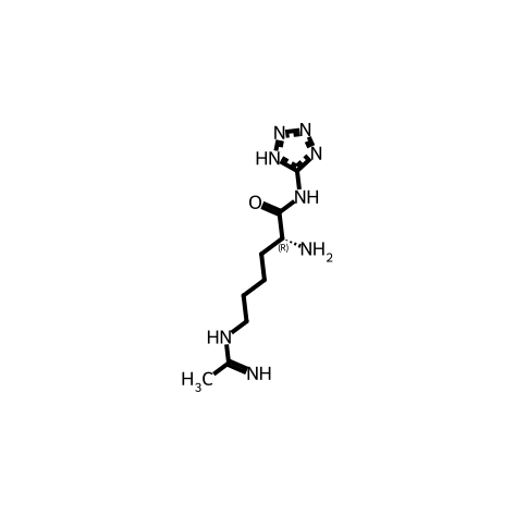 CC(=N)NCCCC[C@@H](N)C(=O)Nc1nnn[nH]1